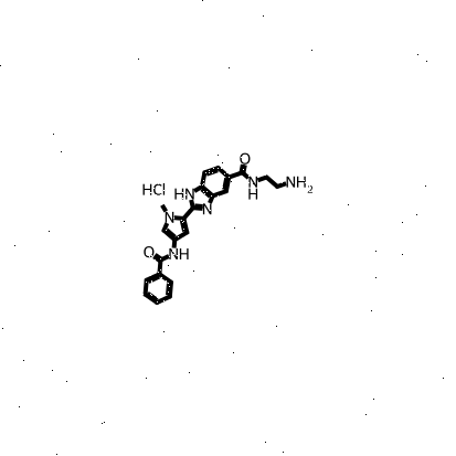 Cl.Cn1cc(NC(=O)c2ccccc2)cc1-c1nc2cc(C(=O)NCCN)ccc2[nH]1